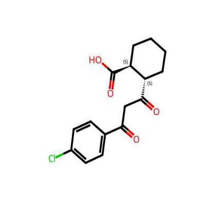 O=C(CC(=O)[C@H]1CCCC[C@@H]1C(=O)O)c1ccc(Cl)cc1